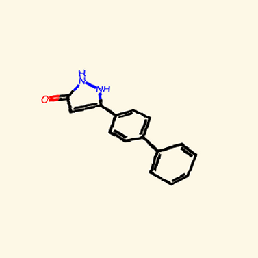 O=c1cc(-c2ccc(-c3ccccc3)cc2)[nH][nH]1